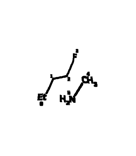 CCCCF.CN